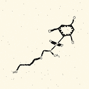 CN(COCCCO)S(=O)(=O)c1c(Cl)cc(Cl)cc1Cl